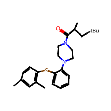 Cc1ccc(Sc2ccccc2N2CCN(C(=O)C(C)CC(C)(C)C)CC2)c(C)c1